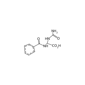 NC(=O)NC(NC(=O)c1ccccc1)C(=O)O